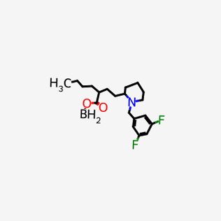 BOC(=O)C(CCCC)CCC1CCCCN1Cc1cc(F)cc(F)c1